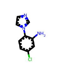 Nc1cc(Cl)ccc1-n1ccnc1